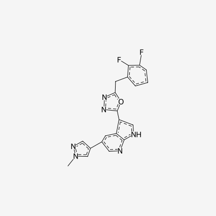 Cn1cc(-c2cnc3[nH]cc(-c4nnc(Cc5cccc(F)c5F)o4)c3c2)cn1